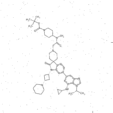 CC(C)n1cnc2cc(-c3ccc4c(c3)N([C@H]3C[C@@H](N5CCCCC5)C3)C(=O)C43CCN(CC(=O)N(C)C4CCN(C(=O)OC(C)(C)C)CC4)CC3)nc(NC3CC3)c21